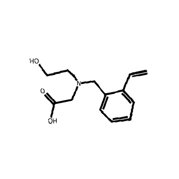 C=Cc1ccccc1CN(CCO)CC(=O)O